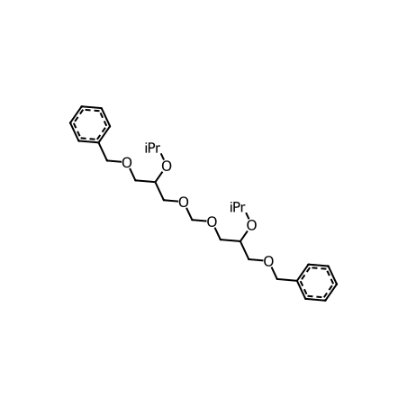 CC(C)OC(COCOCC(COCc1ccccc1)OC(C)C)COCc1ccccc1